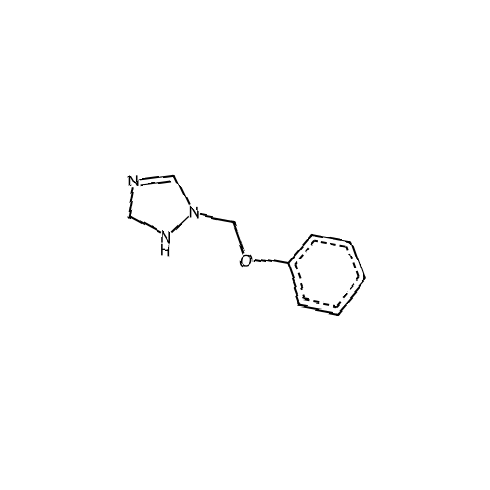 C1=NCNN1COc1ccccc1